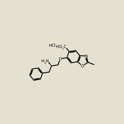 Cc1nc2cc(C(=O)O)c(OC[C@H](N)Cc3ccccc3)cc2o1.Cl